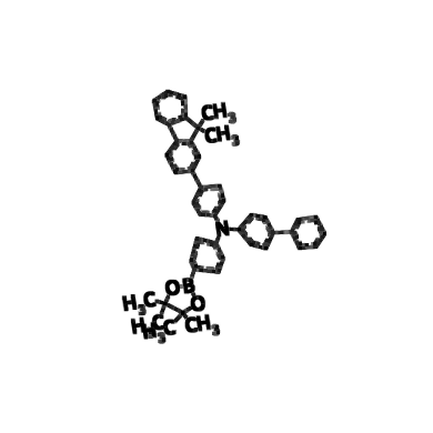 CC1(C)c2ccccc2-c2ccc(-c3ccc(N(c4ccc(B5OC(C)(C)C(C)(C)O5)cc4)c4ccc(-c5ccccc5)cc4)cc3)cc21